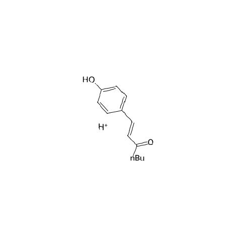 CCCCC(=O)/C=C/c1ccc(O)cc1.[H+]